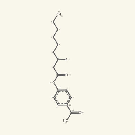 CCCCCCC(F)CC(=O)Oc1ccc(C(=O)O)cc1